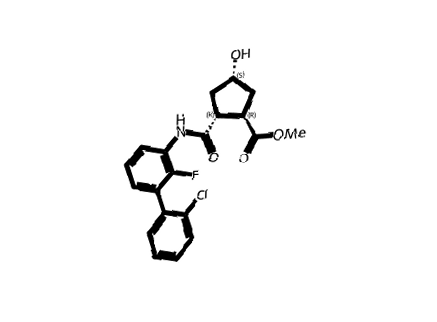 COC(=O)[C@@H]1C[C@@H](O)C[C@H]1C(=O)Nc1cccc(-c2ccccc2Cl)c1F